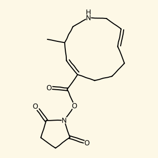 CC1/C=C(/C(=O)ON2C(=O)CCC2=O)CCC/C=C/CNC1